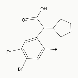 O=C(O)C(c1cc(F)c(Br)cc1F)C1CCCC1